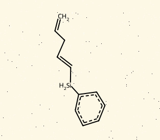 C=CCC=C[SiH2]c1ccccc1